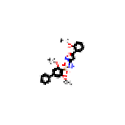 COc1ccccc1-c1cc(NS(=O)(=O)c2c(OC)cc(-c3ccccc3)cc2OC)no1